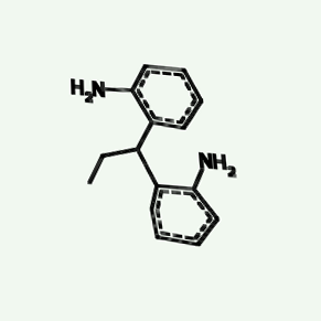 CCC(c1ccccc1N)c1ccccc1N